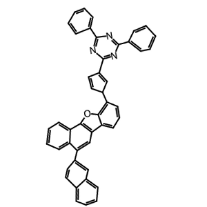 C1=CC(c2cccc3c2oc2c4ccccc4c(-c4ccc5ccccc5c4)cc32)C=C1c1nc(-c2ccccc2)nc(-c2ccccc2)n1